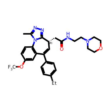 CCc1ccc(C2=C[C@@H](CC(=O)NCCN3CCOCC3)c3nnc(C)n3-c3ccc(OC(F)(F)F)cc32)cc1